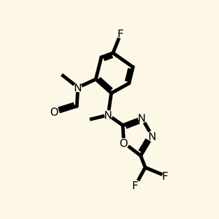 CN(C=O)c1cc(F)ccc1N(C)c1nnc(C(F)F)o1